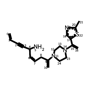 C=CC#CC(N)/C=C\CC(=C)N1CCN(C(=C)c2cnc(C)s2)CC1